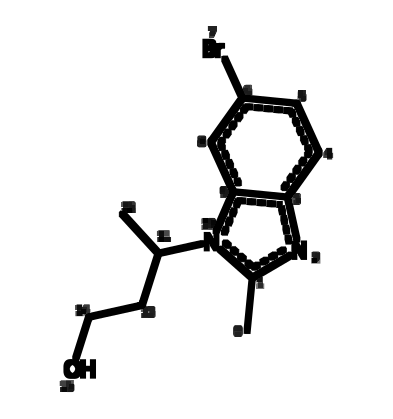 Cc1nc2ccc(Br)cc2n1C(C)CCO